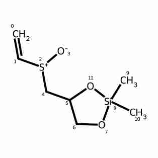 C=C[S+]([O-])CC1CO[Si](C)(C)O1